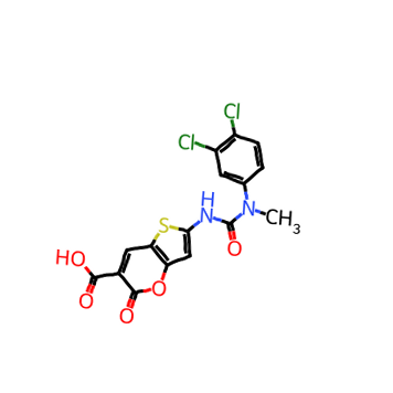 CN(C(=O)Nc1cc2oc(=O)c(C(=O)O)cc2s1)c1ccc(Cl)c(Cl)c1